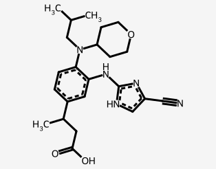 CC(C)CN(c1ccc(C(C)CC(=O)O)cc1Nc1nc(C#N)c[nH]1)C1CCOCC1